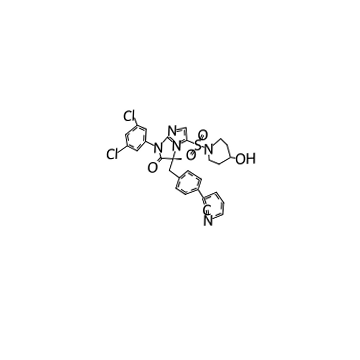 C[C@@]1(Cc2ccc(-c3cccnc3)cc2)C(=O)N(c2cc(Cl)cc(Cl)c2)c2ncc(S(=O)(=O)N3CCC(O)CC3)n21